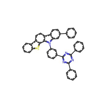 c1ccc(-c2ccc3c4ccc5c6ccccc6sc5c4n(-c4cccc(-c5nc(-c6ccccc6)nc(-c6ccccc6)n5)c4)c3c2)cc1